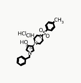 Cc1ccc(S(=O)(=O)N2CCN([C@H]3CN(Cc4ccccc4)C[C@@H]3O)CC2)cc1.Cl.Cl